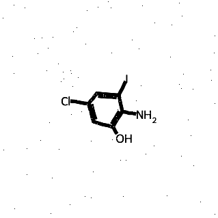 Nc1c(O)cc(Cl)cc1I